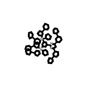 c1ccc(-c2cccc(-c3cc(-c4cccc(-c5ccccc5)c4)nc(-c4cc([Si](c5ccccc5)(c5cccc(-c6ccccc6)c5)c5cccc(-c6ccccc6)c5)cc([Si](c5ccccc5)(c5cccc(-c6ccccc6)c5)c5cccc(-c6ccccc6)c5)c4)n3)c2)cc1